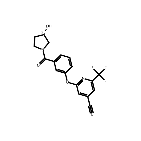 N#Cc1cc(Oc2cccc(C(=O)N3CC[C@H](O)C3)c2)nc(C(F)(F)F)c1